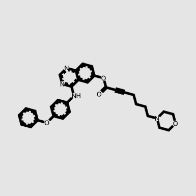 O=C(C#CCCCCN1CCOCC1)Oc1ccc2ncnc(Nc3ccc(Oc4ccccc4)cc3)c2c1